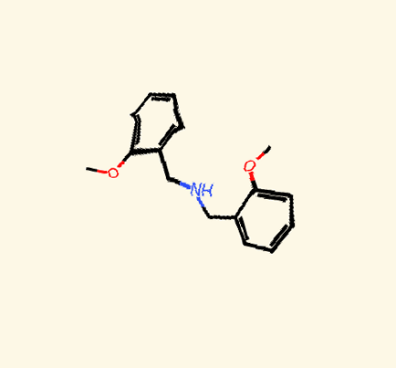 COc1ccccc1CNCc1ccccc1OC